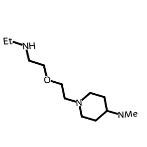 CCNCCOCCN1CCC(NC)CC1